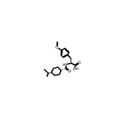 COc1ccc(C[C@H](NC(=O)[C@H]2CC[C@H](C(C)C)CC2)C(=O)O)cc1